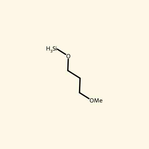 COCCCO[SiH3]